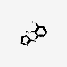 Cc1cccc(Oc2n[c]cs2)c1C